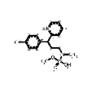 COP(=O)(O)N(C)CCC(c1ccc(Cl)cc1)c1ccccn1